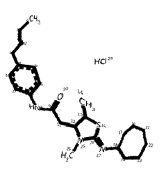 CCCCc1ccc(NC(=O)CC2C(C)SC(=NC3CCCCCC3)N2C)cc1.Cl